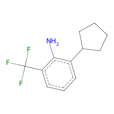 Nc1c(C2CCCC2)cccc1C(F)(F)F